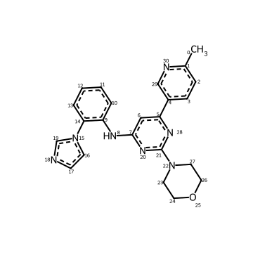 Cc1ccc(-c2cc(Nc3ccccc3-n3ccnc3)nc(N3CCOCC3)n2)cn1